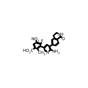 Cc1c(C(=O)O)cc([N+](=O)[O-])c(F)c1-c1cnc(N)c(-c2ccc3c(c2)CCNC3=O)c1